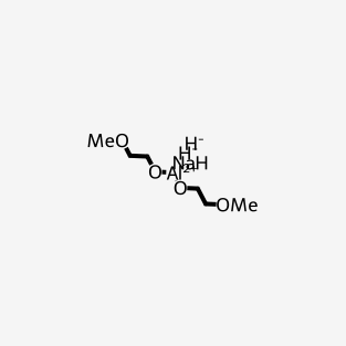 COCC[O][Al+2][O]CCOC.[H-].[H-].[NaH]